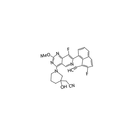 C#Cc1c(F)ccc2cccc(-c3ncc4c(N5CCCC(O)(CC#N)C5)nc(OC)nc4c3F)c12